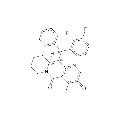 Cc1c2n(ncc1=O)[C@@H]([C@H](c1ccccc1)c1cccc(F)c1F)[C@@H]1CCCCN1C2=O